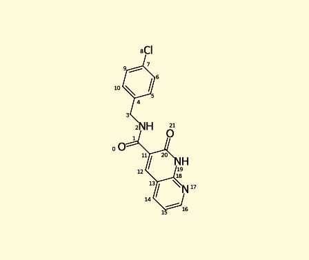 O=C(NCc1ccc(Cl)cc1)c1cc2cccnc2[nH]c1=O